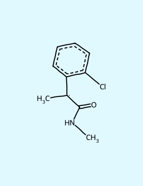 CNC(=O)[C](C)c1ccccc1Cl